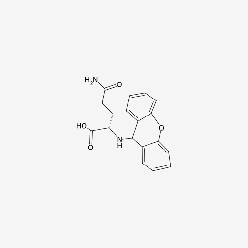 NC(=O)CC[C@H](NC1c2ccccc2Oc2ccccc21)C(=O)O